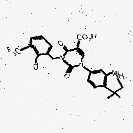 CC1(C)CNc2cc(-n3cc(C(=O)O)c(=O)n(Cc4cccc(C(F)(F)F)c4Cl)c3=O)ccc21